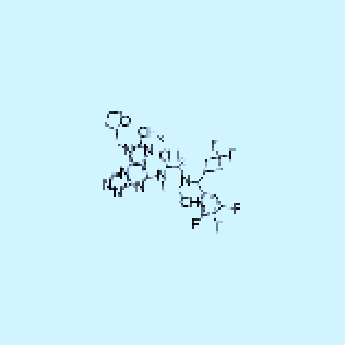 Cc1nc2c(N3C[C@@H](C)N(C(c4cc(F)c(F)c(F)c4)C4CC(F)(F)C4)C[C@@H]3C)nc3nncn3c2n1CC1CCCO1